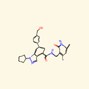 Cc1cc(C)c(CNC(=O)c2cc(-c3ccc(CO)cc3)cc3c2cnn3C2CCCC2)c(=O)[nH]1